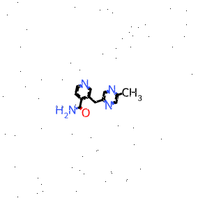 Cc1cnc(Cc2cnccc2C(N)=O)cn1